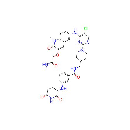 CNC(=O)COc1cc2cc(Nc3nc(N4CCC(CNC(=O)c5cccc(NC6CCC(=O)NC6=O)c5)CC4)ncc3Cl)ccc2n(C)c1=O